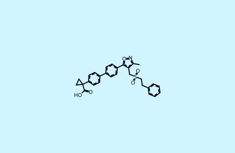 Cc1noc(-c2ccc(-c3ccc(C4(C(=O)O)CC4)cc3)cc2)c1CS(=O)(=O)CCc1ccccc1